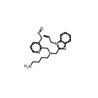 C=CCn1c(CN(CCCCN)Cc2ncccc2CN=O)nc2ccccc21